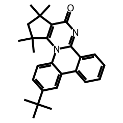 CC(C)(C)c1ccc2c(c1)c1ccccc1c1nc(=O)c3c(n21)C(C)(C)CC3(C)C